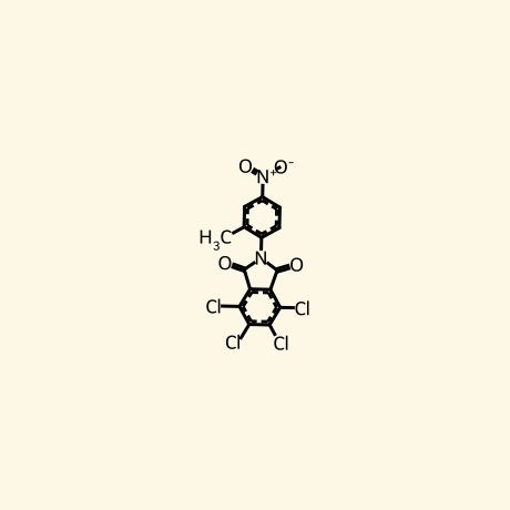 Cc1cc([N+](=O)[O-])ccc1N1C(=O)c2c(Cl)c(Cl)c(Cl)c(Cl)c2C1=O